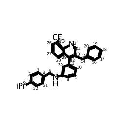 CC(C)c1ccc(CNc2cccc(-c3c(Cc4ccccc4)cnc4c(C(F)(F)F)cccc34)c2)cc1